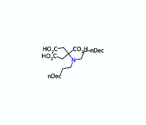 CCCCCCCCCCCCN(CCCCCCCCCCCC)C(CC(=O)O)(CC(=O)O)C(=O)O